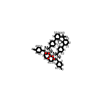 Cc1ccc(-c2nc(-c3ccccc3)nc(-c3ccc(-c4cccc5c4Oc4c(-c6ccc(-c7nc(-c8ccccc8)nc(-c8ccc(C)cc8)n7)cc6)cccc4C5(C)C)cc3)n2)cc1